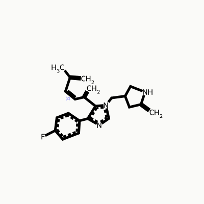 C=C(C)/C=C\C(=C)c1c(-c2ccc(F)cc2)ncn1CC1CNC(=C)C1